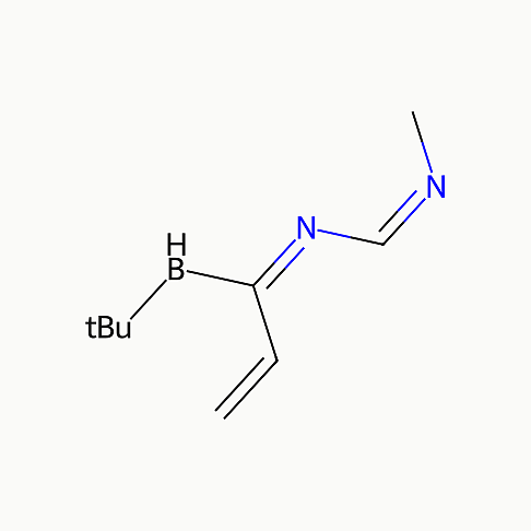 C=C/C(BC(C)(C)C)=N\C=N/C